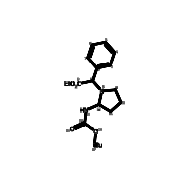 CCOC(=O)C(c1ccccc1)N1CCCC1NC(=O)OC(C)(C)C